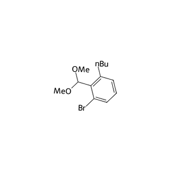 CCCCc1cccc(Br)c1C(OC)OC